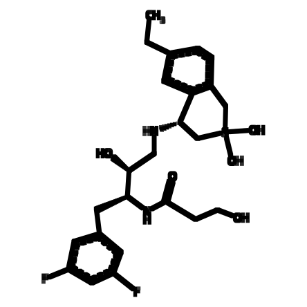 CCc1ccc2c(c1)[C@@H](NC[C@H](O)[C@H](Cc1cc(F)cc(F)c1)NC(=O)CCO)CS(O)(O)C2